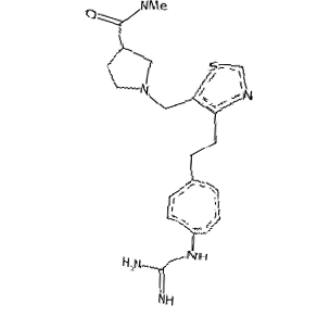 CNC(=O)C1CCN(Cc2scnc2CCc2ccc(NC(=N)N)cc2)C1